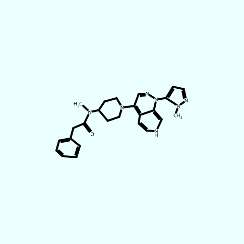 CN(C(=O)Cc1ccccc1)C1CCN(C2=C3C=CNC=C3N(c3ccnn3C)N=C2)CC1